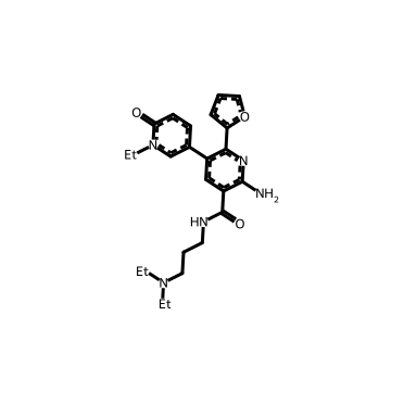 CCN(CC)CCCNC(=O)c1cc(-c2ccc(=O)n(CC)c2)c(-c2ccco2)nc1N